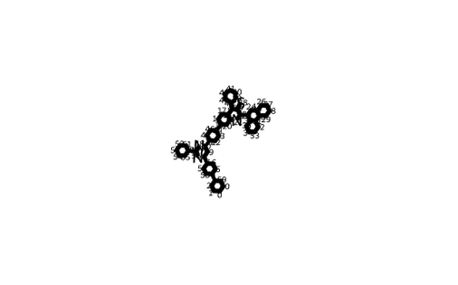 c1ccc(-c2ccc(-c3cc(-c4ccc(-c5ccc6c(c5)nc(-c5cc7ccccc7c7ccccc57)c5sc7ccccc7c56)cc4)nc(-c4ccccc4)n3)cc2)cc1